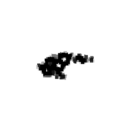 COC1CC2CC(=NOCCN)CC[C@]2(C)[C@@H]2CC[C@]3(C)C(=O)CC[C@H]3[C@H]12